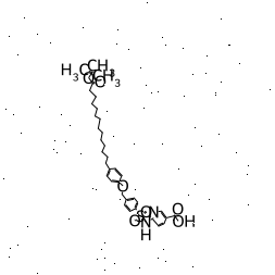 CC(C)(C)OC(=O)CCCCCCCCCCCCCc1ccc(OCc2ccc(S(=O)(=O)Nc3ccc(C(=O)O)cn3)cc2)cc1